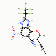 CC#CCC(C)Oc1c(C#N)cc([N+](=O)[O-])c2[nH]c(C(F)(F)C(F)(F)F)nc12